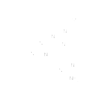 CCC(C)n1c(N2CCCC2C)nc2c(-c3cnc(N)nc3)nc(N3CCOCC3)nc21